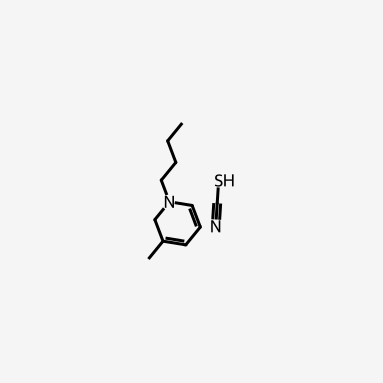 CCCCN1C=CC=C(C)C1.N#CS